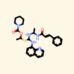 CC(NC(=O)/C=C/c1ccccc1)NC(Nc1cccc2cccnc12)SC(C)OC(=O)N1CCCCC1